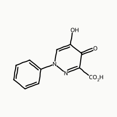 O=C(O)c1nn(-c2ccccc2)cc(O)c1=O